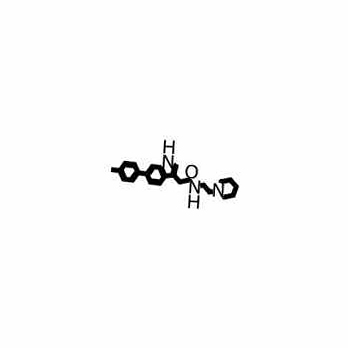 Cc1ccc(-c2ccc3c(CC(=O)NCCN4CCCCC4)c[nH]c3c2)cc1